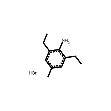 Br.CCc1cc(C)cc(CC)c1N